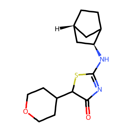 O=C1N=C(N[C@H]2C[C@@H]3CCC2C3)SC1C1CCOCC1